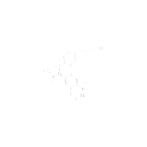 CC1(C)NCCc2cc(N3C(=O)NCC3c3ccc(CCC(=O)O)cc3)ccc21